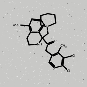 COc1cccc2c1CCNC2(CN1CCCCC1)C(=O)Cc1ccc(Cl)c(Cl)c1C